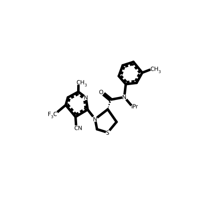 Cc1cccc(N(C(=O)[C@@H]2CSCN2c2nc(C)cc(C(F)(F)F)c2C#N)C(C)C)c1